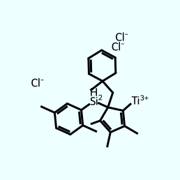 CC1=C(C)C(CC2(C)C=CC=CC2)([SiH2]c2cc(C)ccc2C)[C]([Ti+3])=C1C.[Cl-].[Cl-].[Cl-]